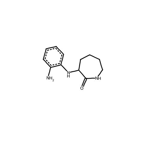 Nc1ccccc1NC1CCCCNC1=O